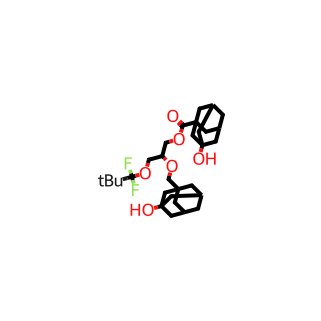 CC(C)(C)C(F)(F)OCC(COC(=O)C12CC3CC(CC(O)(C3)C1)C2)OCC12CC3CC(CC(O)(C3)C1)C2